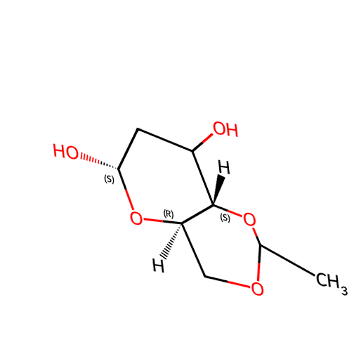 CC1OC[C@H]2O[C@H](O)CC(O)[C@@H]2O1